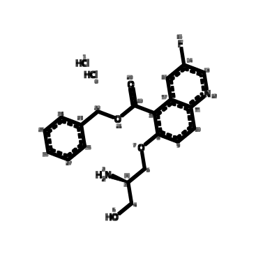 Cl.Cl.N[C@H](CO)COc1ccc2ncc(F)cc2c1C(=O)OCc1ccccc1